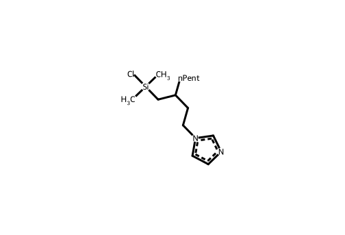 CCCCCC(CCn1ccnc1)C[Si](C)(C)Cl